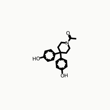 CC(=O)N1CCC(c2ccc(O)cc2)(c2ccc(O)cc2)CC1